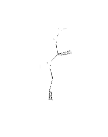 C=CCNC(=O)NS